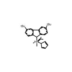 C[C](C)=[Hf]([CH3])([CH3])([CH]1C=CC=C1)[CH]1c2ccc(C(C)(C)C)cc2-c2cc(C(C)(C)C)ccc21